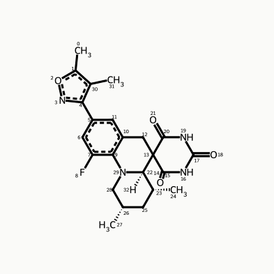 Cc1onc(-c2cc(F)c3c(c2)CC2(C(=O)NC(=O)NC2=O)[C@H]2[C@H](C)C[C@H](C)CN32)c1C